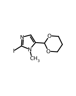 Cn1c(C2OCCCO2)cnc1I